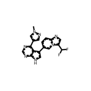 Cn1cc(-c2ncnc3[nH]cc(-c4ccc5ncc(C(F)F)n5c4)c23)cn1